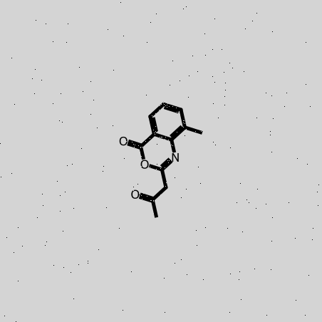 CC(=O)Cc1nc2c(C)cccc2c(=O)o1